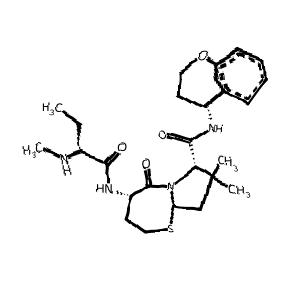 CC[C@H](NC)C(=O)N[C@H]1CCSC2CC(C)(C)[C@@H](C(=O)N[C@@H]3CCOc4ccccc43)N2C1=O